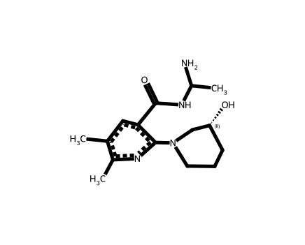 Cc1cc(C(=O)NC(C)N)c(N2CCC[C@@H](O)C2)nc1C